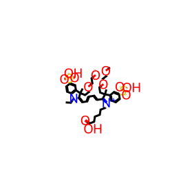 CCN1/C(=C/C=C/C=C/C2=[N+](CCCCCC(=O)O)c3ccc(S(=O)(=O)O)cc3C2(C)CCOCCOC)C(C)(CCOCCOC)c2cc(S(=O)(=O)O)ccc21